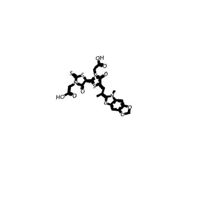 C/C(C=c1s/c(=C2/SC(=S)N(CC(=O)O)C2=O)n(CC(=O)O)c1=O)=C1\Oc2cc3c(cc2N1C)OCO3